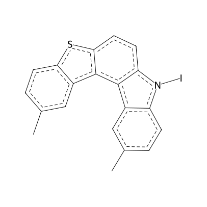 Cc1ccc2sc3ccc4c(c5cc(C)ccc5n4I)c3c2c1